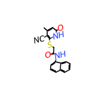 Cc1cc(=O)[nH]c(SCC(=O)Nc2cccc3ccccc23)c1C#N